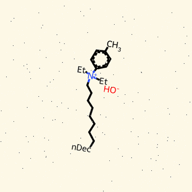 CCCCCCCCCCCCCCCCCC[N+](CC)(CC)c1ccc(C)cc1.[OH-]